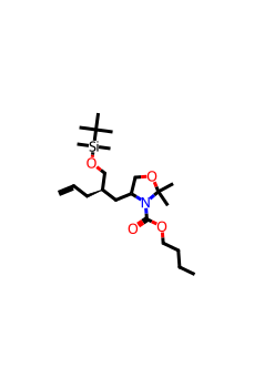 C=CC[C@@H](CO[Si](C)(C)C(C)(C)C)CC1COC(C)(C)N1C(=O)OCCCC